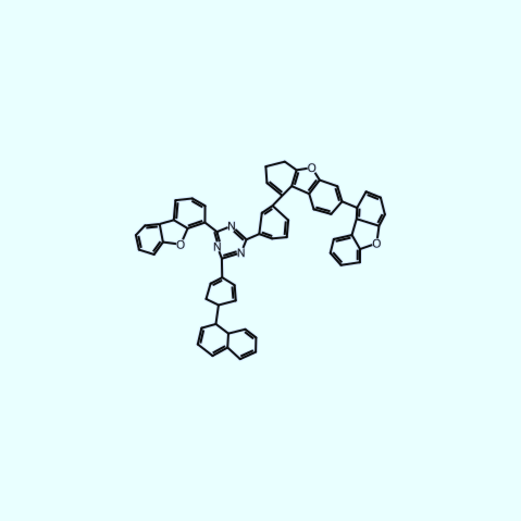 C1=CC2=CC=CC(C3C=CC(c4nc(-c5cccc(C6=CCCc7oc8cc(-c9cccc%10oc%11ccccc%11c9%10)ccc8c76)c5)nc(-c5cccc6c5oc5ccccc56)n4)=CC3)C2C=C1